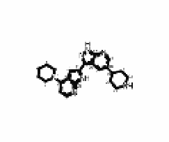 c1cc(N2CCCCC2)c2cc(-c3n[nH]c4ncc(C5CCNCC5)cc34)[nH]c2n1